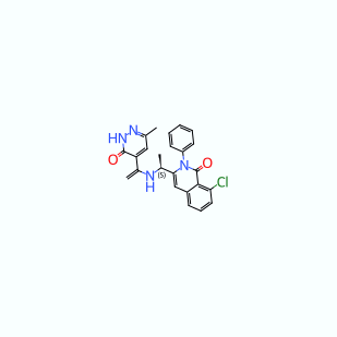 C=C(N[C@@H](C)c1cc2cccc(Cl)c2c(=O)n1-c1ccccc1)c1cc(C)n[nH]c1=O